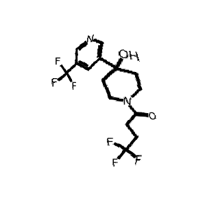 O=C(CCC(F)(F)F)N1CCC(O)(c2cncc(C(F)(F)F)c2)CC1